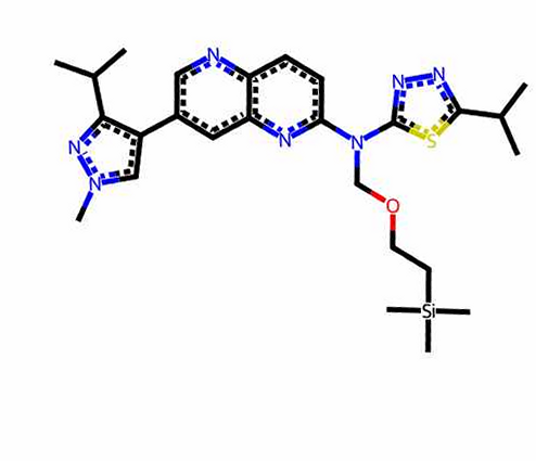 CC(C)c1nnc(N(COCC[Si](C)(C)C)c2ccc3ncc(-c4cn(C)nc4C(C)C)cc3n2)s1